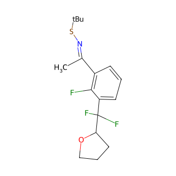 C/C(=N\SC(C)(C)C)c1cccc(C(F)(F)C2CCCO2)c1F